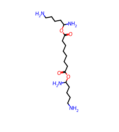 NCCCCC(N)OC(=O)CCCCCCC(=O)OC(N)CCCCN